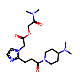 CN(C)C(=O)COC(=O)Cn1ccnc1CCC(=O)N1CCC(N(C)C)CC1